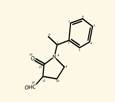 CC(c1ccccc1)N1CCC(C=O)C1=O